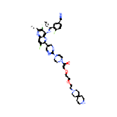 Cc1nc2cc(F)c(-c3cnc(N4CCN(C(=O)COCCOCCN5CCC6(CCNCC6)CC5)CC4)nc3)nc2c(N[C@H](C)c2cc(C#N)ccc2F)c1Cl